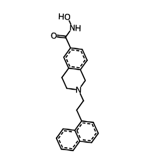 O=C(NO)c1ccc2c(c1)CCN(CCc1cccc3ccccc13)C2